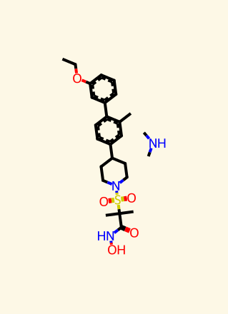 CCOc1cccc(-c2ccc(C3CCN(S(=O)(=O)C(C)(C)C(=O)NO)CC3)cc2C)c1.CNC